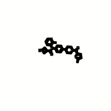 Cc1ccc(C(=O)N2CCC(c3ccc(N(C(=O)C4CNC4)c4cccnc4C)cc3)CC2)s1